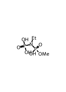 CCN(P(=O)(O)O)P(=O)(O)OC